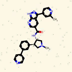 Cc1cc(-c2n[nH]c3ncc(C(=O)N[C@@H]4CN(C)C[C@H]4c4cccc(-c5ccncc5)c4)cc23)ccn1